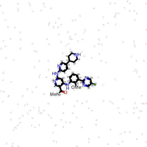 CNC(=O)c1cnc(Nc2ccc(C3CCNCC3)cn2)cc1Nc1cccc(-c2ncc(F)cn2)c1OC